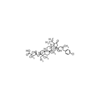 CC(C)C1=C2[C@H]3CC[C@@H]4[C@@]5(C)CC[C@H](OC(=O)CC(C)(C)C(=O)O)C(C)(C)C5CC[C@@]4(C)[C@]3(C)CC[C@@]2([C@H](O)CN(C)Cc2ccc(Cl)cc2)CC1=O